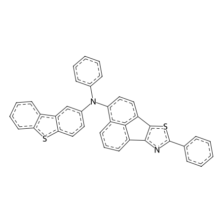 c1ccc(-c2nc3c(s2)-c2ccc(N(c4ccccc4)c4ccc5sc6ccccc6c5c4)c4cccc-3c24)cc1